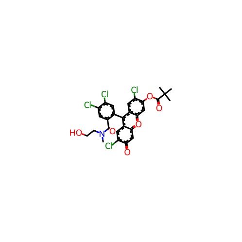 CN(CCO)C(=O)c1cc(Cl)c(Cl)cc1-c1c2cc(Cl)c(=O)cc-2oc2cc(OC(=O)C(C)(C)C)c(Cl)cc12